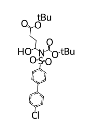 CC(C)(C)OC(=O)CCC(O)N(C(=O)OC(C)(C)C)S(=O)(=O)c1ccc(-c2ccc(Cl)cc2)cc1